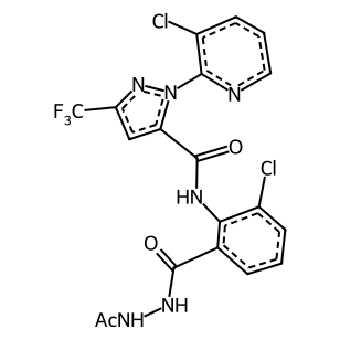 CC(=O)NNC(=O)c1cccc(Cl)c1NC(=O)c1cc(C(F)(F)F)nn1-c1ncccc1Cl